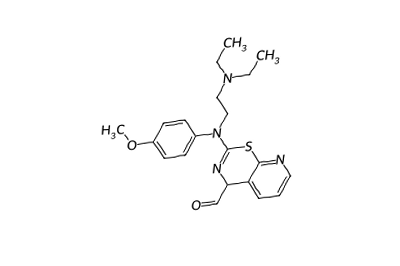 CCN(CC)CCN(C1=NC(C=O)c2cccnc2S1)c1ccc(OC)cc1